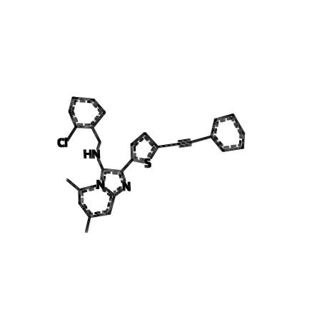 Cc1cc(C)n2c(NCc3ccccc3Cl)c(-c3ccc(C#Cc4ccccc4)s3)nc2c1